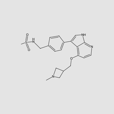 CN1CC(COc2ccnc3[nH]cc(-c4ccc(CNS(C)(=O)=O)cc4)c23)C1